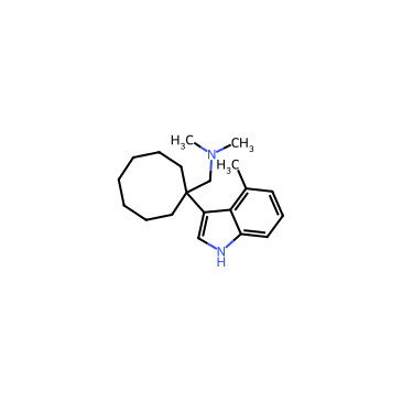 Cc1cccc2[nH]cc(C3(CN(C)C)CCCCCCC3)c12